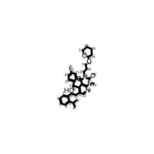 CC(C)c1ccccc1CCc1cnc2c(c1C(O)c1ccc(F)cc1)c(=O)n(CCCOC1CCCCO1)c(=O)n2C